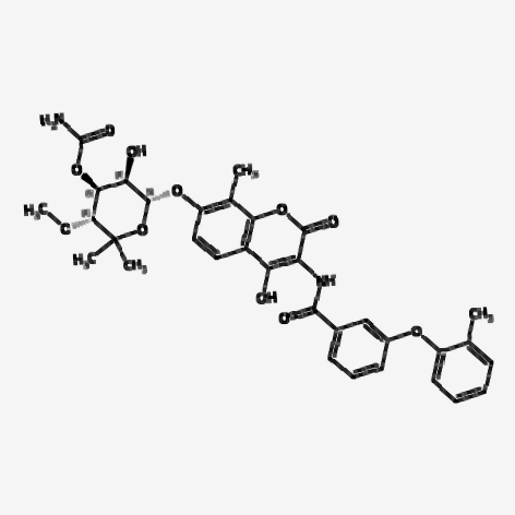 CO[C@@H]1[C@@H](OC(N)=O)[C@@H](O)[C@H](Oc2ccc3c(O)c(NC(=O)c4cccc(Oc5ccccc5C)c4)c(=O)oc3c2C)OC1(C)C